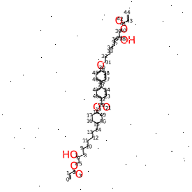 C=CC(=O)OCC(O)CCCCCCCC1CCC(OC(=O)c2ccc(-c3ccc(OCCCCCCC(O)COC(=O)C=C)cc3)cc2)CC1